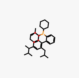 CC(C)Cc1cc(C(C)C(C)C)cc(CC(C)C)c1-c1ccccc1P(C1CCCCC1)C1CCCCC1